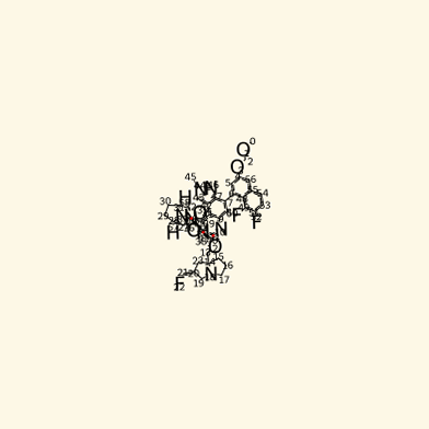 COCOc1cc(-c2cc3nc(OC[C@@]45CCCN4C/C(=C\F)C5)nc(N4C[C@H]5CC[C@@H](C4)N5C(=O)OC(C)(C)C)c3c3cn(C)nc23)c2c(F)c(F)ccc2c1